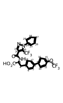 O=C(N[C@@H](Cc1ccc(-c2ccc(OC(F)(F)F)cc2)cc1)C(=O)O)c1cnn(-c2ccccc2)c1C(F)(F)F